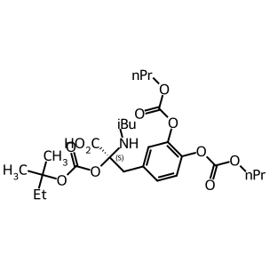 CCCOC(=O)Oc1ccc(C[C@](NC(C)CC)(OC(=O)OC(C)(C)CC)C(=O)O)cc1OC(=O)OCCC